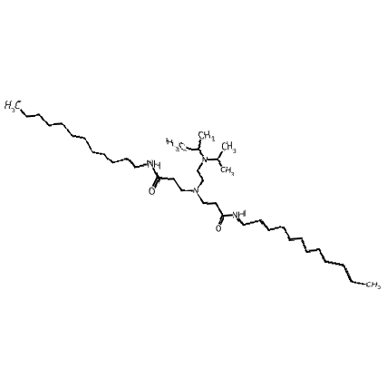 CCCCCCCCCCCCNC(=O)CCN(CCC(=O)NCCCCCCCCCCCC)CCN(C(C)C)C(C)C